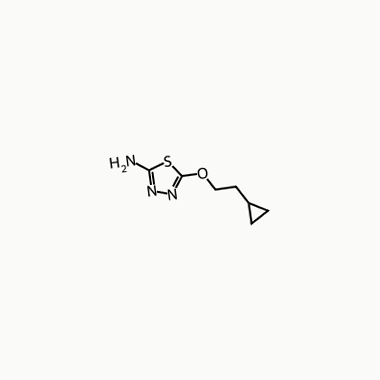 Nc1nnc(OCCC2CC2)s1